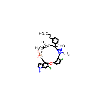 Cn1nc2nc1-c1cc(ccc1F)Oc1c(F)cc3[nH]ccc3c1CCS(=O)(=O)CC(C)(C)CCCC2(C=O)c1cccc(CCC(=O)O)c1